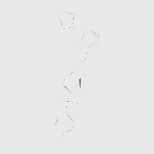 Cc1ccc(C(C)(C)c2ccc(OCc3nccc(-n4nccn4)n3)cc2)cc1